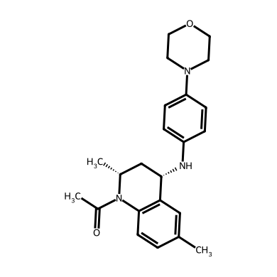 CC(=O)N1c2ccc(C)cc2[C@@H](Nc2ccc(N3CCOCC3)cc2)C[C@H]1C